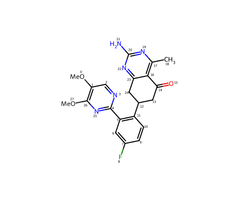 COc1cnc(-c2cc(F)ccc2C2CC(=O)c3c(C)nc(N)nc3C2)nc1OC